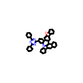 c1ccc(-c2nc(-c3ccccc3)nc(-c3cccc(-n4c5ccccc5c5cc6ccccc6c(-c6ccc7oc8ccccc8c7c6)c54)c3)n2)cc1